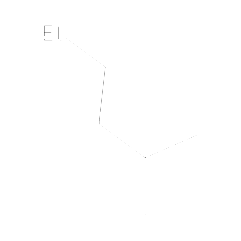 [CH2]CCC[C@@H]([CH2])C